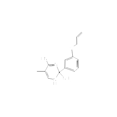 C=CCOc1cccc(C2(N)N=C(N)C(F)=CN2)c1